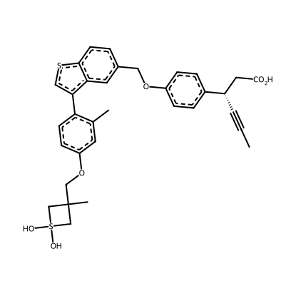 CC#C[C@@H](CC(=O)O)c1ccc(OCc2ccc3scc(-c4ccc(OCC5(C)CS(O)(O)C5)cc4C)c3c2)cc1